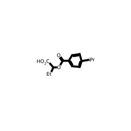 CCC(OC(=O)c1ccc(C(C)C)cc1)C(=O)O